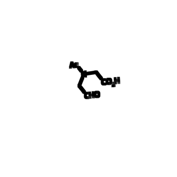 CC(=O)N(CC=O)CC(=O)O